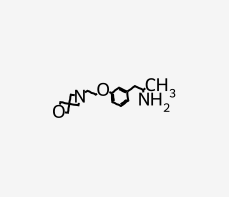 CC(N)Cc1cccc(OCCN2CC3(COC3)C2)c1